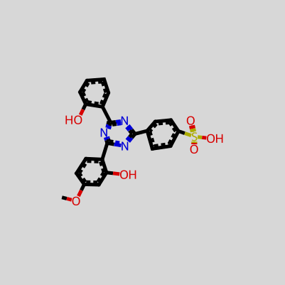 COc1ccc(-c2nc(-c3ccc(S(=O)(=O)O)cc3)nc(-c3ccccc3O)n2)c(O)c1